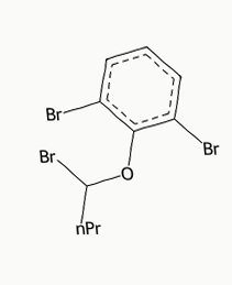 CCCC(Br)Oc1c(Br)cccc1Br